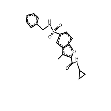 Cc1c(C(=O)NC2CC2)oc2ccc(S(=O)(=O)NCc3ccccc3)cc12